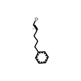 [O]/C=C/CCCc1ccccc1